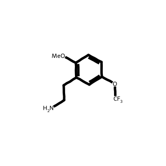 COc1ccc(OC(F)(F)F)cc1CCN